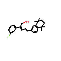 CC1(C)CCC(C)(C)c2cc(CCC=C(CO)c3cccc(F)c3)ccc21